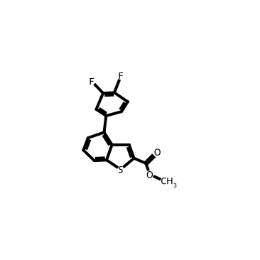 COC(=O)c1cc2c(-c3ccc(F)c(F)c3)cccc2s1